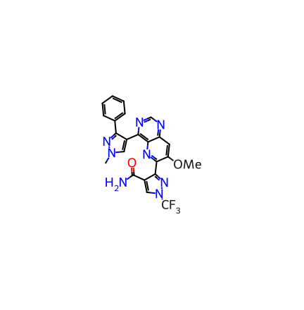 COc1cc2ncnc(-c3cn(C)nc3-c3ccccc3)c2nc1-c1nn(C(F)(F)F)cc1C(N)=O